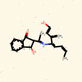 C=C(/C=C/O)C(=C\C=C/C)/N=C(\C)C1C(=O)c2ccccc2[C@@H]1O